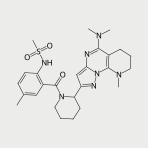 Cc1ccc(NS(C)(=O)=O)c(C(=O)N2CCCCC2c2cc3nc(N(C)C)c4c(n3n2)N(C)CCC4)c1